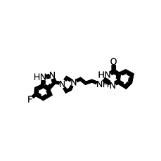 O=c1[nH]c(NCCCN2CCN(c3n[nH]c4cc(F)ccc34)C2)nc2ccccc12